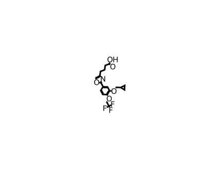 O=C(O)CCCc1coc(-c2ccc(OCC(F)(F)F)c(OCC3CC3)c2)n1